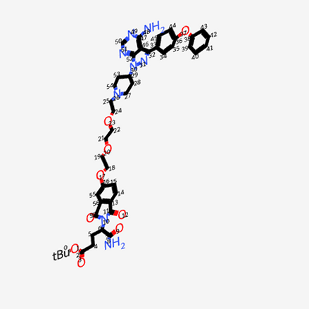 CC(C)(C)OC(=O)CCC(C(N)=O)N1C(=O)c2ccc(OCCOCCOCCN3CCC(n4nc(-c5ccc(Oc6ccccc6)cc5)c5c(N)ncnc54)CC3)cc2C1=O